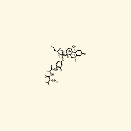 CCCC1O[C@@H]2C[C@H]3[C@@H]4C[C@H](F)C5=CC(=O)C=C[C@]5(C)[C@@]4(F)[C@@H](O)C[C@]3(C)[C@]2(C(=O)COc2ccc(NC(=O)[C@H](C)NC(=O)C(N)C(C)C)c(F)c2)O1